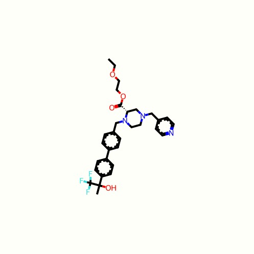 CCOCCOC(=O)[C@@H]1CN(Cc2ccncc2)CCN1Cc1ccc(-c2ccc(C(C)(O)C(F)(F)F)cc2)cc1